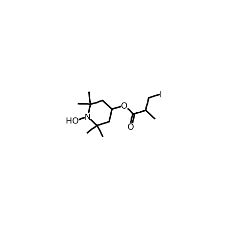 CC(CI)C(=O)OC1CC(C)(C)N(O)C(C)(C)C1